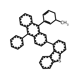 CC1C=C(c2c3ccccc3c(-c3ccccc3)c3ccc(-c4cccc5sc6ccccc6c45)cc23)C=CC1